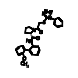 COc1ccccc1-c1ccccc1NC(=O)[C@@H]1CCCN1C(=O)CSc1nnnn1-c1ccccc1